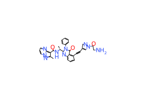 Cc1nn2cccnc2c1C(=O)N[C@@H](C)c1nc2cccc(C#Cc3cnn(C(=O)CN)c3)c2c(=O)n1-c1ccccc1